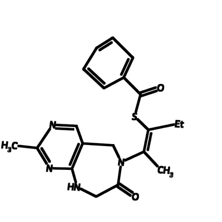 CC/C(SC(=O)c1ccccc1)=C(\C)N1Cc2cnc(C)nc2NCC1=O